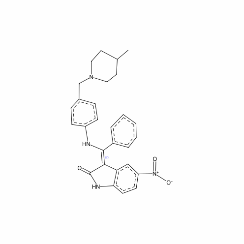 CC1CCN(Cc2ccc(N/C(=C3\C(=O)Nc4ccc([N+](=O)[O-])cc43)c3ccccc3)cc2)CC1